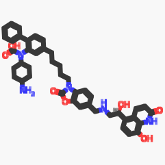 NC1CCC(N(C(=O)O)c2cc(CCCCCn3c(=O)oc4cc(CNC[C@@H](O)c5ccc(O)c6[nH]c(=O)ccc56)ccc43)ccc2-c2ccccc2)CC1